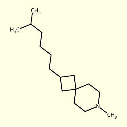 CC(C)CCCCC1CC2(CCN(C)CC2)C1